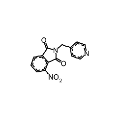 O=C1c2cccc([N+](=O)[O-])c2C(=O)N1Cc1ccncc1